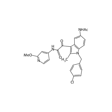 COc1cc(NC(=O)C(=O)c2c(C)n(Cc3ccc(Cl)cc3)c3ccc(NC(C)=O)cc23)ccn1